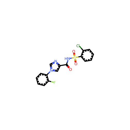 O=C(NS(=O)(=O)c1ccccc1Cl)c1cn(-c2ccccc2F)cn1